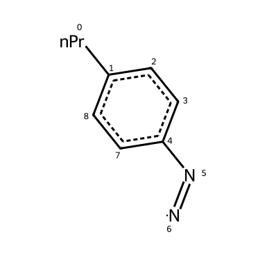 CCCc1ccc(N=[N])cc1